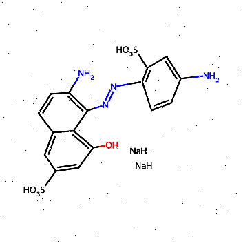 Nc1ccc(/N=N/c2c(N)ccc3cc(S(=O)(=O)O)cc(O)c23)c(S(=O)(=O)O)c1.[NaH].[NaH]